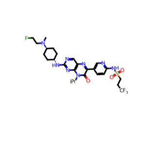 CC(C)n1c(=O)c(-c2ccc(NS(=O)(=O)CCC(F)(F)F)nc2)nc2cnc(N[C@H]3CC[C@H](N(C)CCF)CC3)nc21